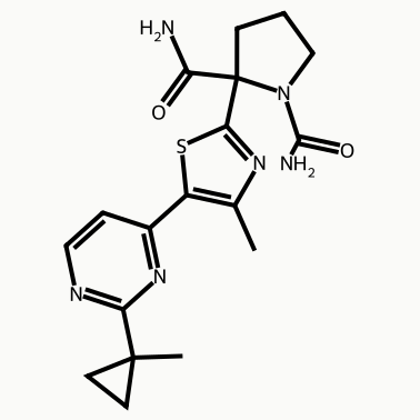 Cc1nc(C2(C(N)=O)CCCN2C(N)=O)sc1-c1ccnc(C2(C)CC2)n1